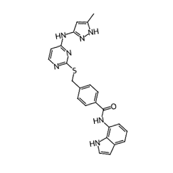 Cc1cc(Nc2ccnc(SCc3ccc(C(=O)Nc4cccc5cc[nH]c45)cc3)n2)n[nH]1